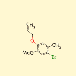 C=CCOc1cc(C)c(Br)cc1OC